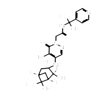 C[C@@H]1[C@H]2C[C@@H](C[C@H]1Nc1cnn(CC(=O)NC(C)(C)c3ccncc3)c(=O)c1Br)C2(C)C